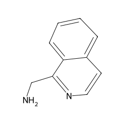 NCc1nccc2ccccc12